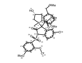 CNCc1ccc(OC)c(C2([N+]3(C)C[C@H](O)C[C@H]3C(=O)NC)C(=O)N(S(=O)(=O)c3ccc(OC)cc3OC(F)(F)F)c3ccc(Cl)cc32)c1